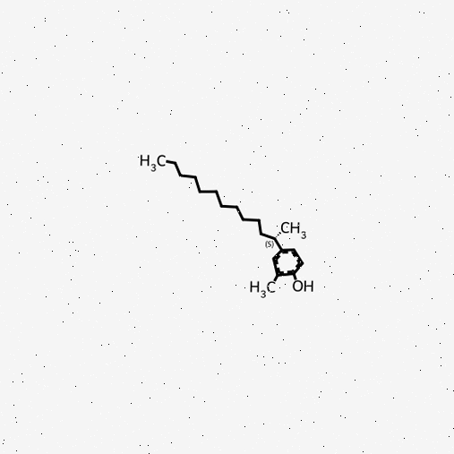 CCCCCCCCCCC[C@H](C)c1ccc(O)c(C)c1